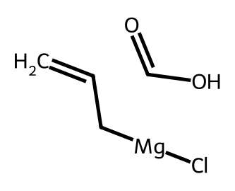 C=C[CH2][Mg][Cl].O=CO